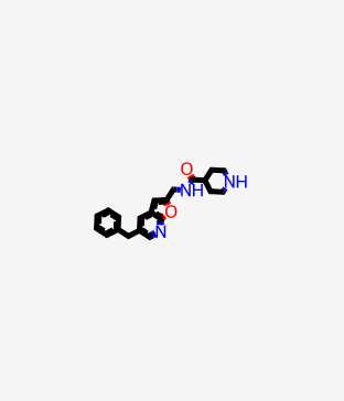 O=C(NCc1cc2cc(Cc3ccccc3)cnc2o1)C1CCNCC1